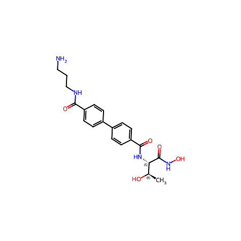 C[C@@H](O)[C@H](NC(=O)c1ccc(-c2ccc(C(=O)NCCCN)cc2)cc1)C(=O)NO